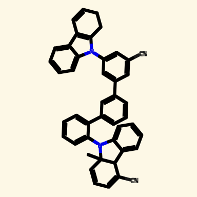 CC12C=CC=C(C#N)C1c1ccccc1N2c1ccccc1-c1cccc(-c2cc(C#N)cc(-n3c4c(c5ccccc53)C=CCC4)c2)c1